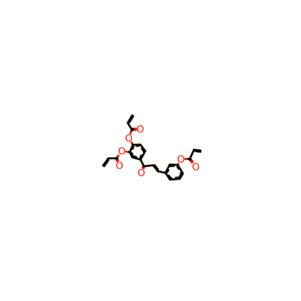 C=CC(=O)Oc1cccc(/C=C/C(=O)c2ccc(OC(=O)C=C)c(OC(=O)C=C)c2)c1